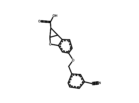 N#Cc1cccc(COc2ccc3c(c2)OC2C(C(=O)O)C32)c1